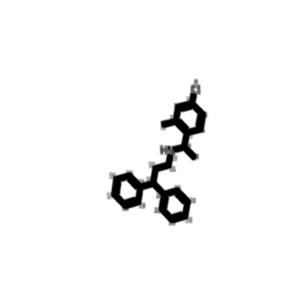 Cc1cc(Cl)ccc1C(C)NCCC(c1ccccc1)c1ccccc1